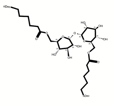 CCCCCCCCCCCCCCCC(=O)OC[C@H]1O[C@H](O[C@H]2O[C@H](COC(=O)CCCCCCCCCCCCCCC)[C@@H](O)[C@H](O)[C@H]2O)[C@H](O)[C@@H](O)[C@@H]1O